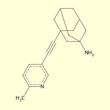 Cc1ccc(C#CC23CC4CC(CC(N)(C4)C2)C3)cn1